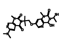 CC(S)N1C(=O)N(C)c2cc(OCC(C)(C)n3c(=O)c4cc(N(C)C)ncc4n(C)c3=O)cnc2C1O